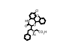 CC(=O)N(CC(=O)O)C(Cc1ccccc1)C1OC(c2ccccc2Cl)c2cc(Cl)ccc2NC1=O